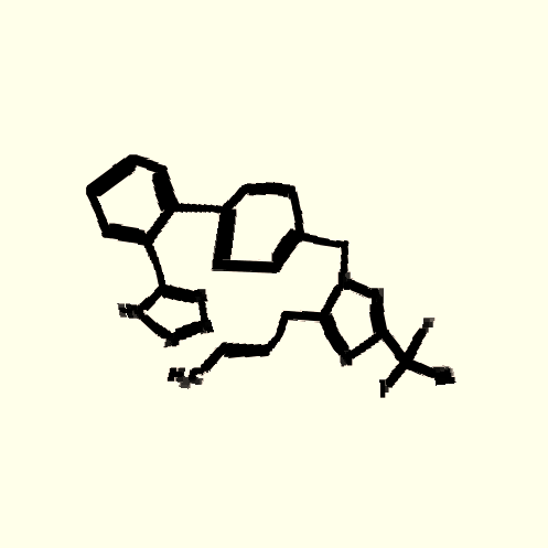 CC=CCc1nc(C(F)(F)CC)nn1Cc1ccc(-c2ccccc2-c2nnn[nH]2)cc1